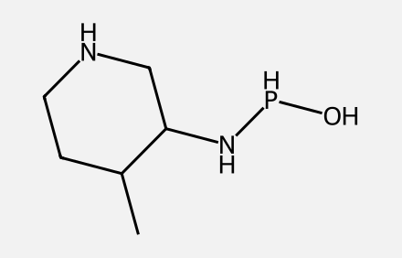 CC1CCNCC1NPO